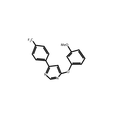 COc1cccc(Oc2cc(-c3ccc(C(F)(F)F)cc3)ncn2)c1